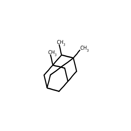 CC1C2(C)CC3CC(C2)CC1(C)C3